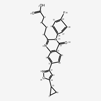 O=C(O)CCCCc1nc2cc(-c3cc(C4CC4)on3)ccc2c(=O)n1-c1ccc(F)cc1